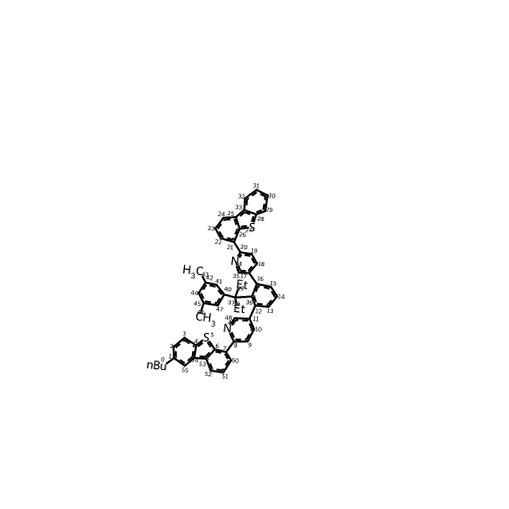 CCCCc1ccc2sc3c(-c4ccc(-c5cccc(-c6ccc(-c7cccc8c7sc7ccccc78)nc6)c5C(CC)(CC)c5cc(C)cc(C)c5)cn4)cccc3c2c1